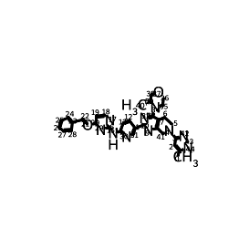 Cc1cc(N2CCc3c(nc(-c4ccc(Nc5nccc(OCc6ccccc6)n5)nc4)nc3N3CCOC[C@@H]3C)C2)ncn1